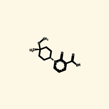 CO[C@]1(C)CC[C@H](n2cccc(C(=O)O)c2=O)CC1